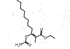 CCCCCCCCC(OC(N)=O)=C(C)C(=O)OCC